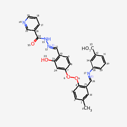 Cc1ccc(OOc2ccc(/C=N/NC(=O)c3cccnc3)c(O)c2)c(/C=N/c2cccc(C(=O)O)c2)c1